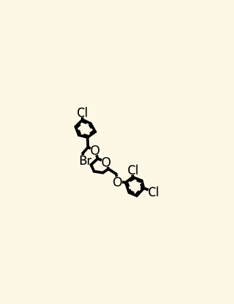 Clc1ccc(C(CBr)OC2CCCC(COc3ccc(Cl)cc3Cl)O2)cc1